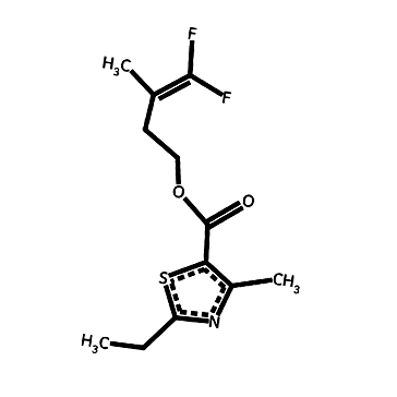 CCc1nc(C)c(C(=O)OCCC(C)=C(F)F)s1